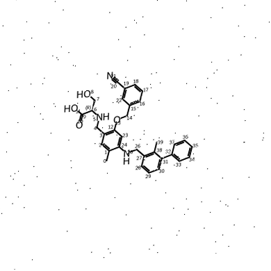 Cc1cc(CN[C@H](CO)C(=O)O)c(OCc2cccc(C#N)c2)cc1NCc1cccc(-c2ccccc2)c1C